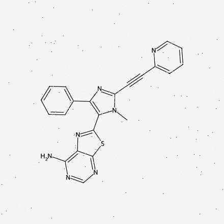 Cn1c(C#Cc2ccccn2)nc(-c2ccccc2)c1-c1nc2c(N)ncnc2s1